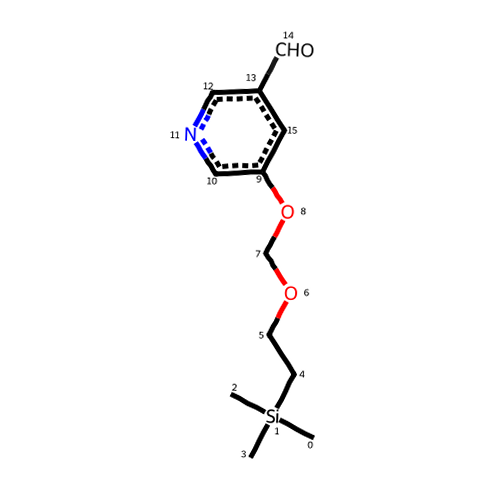 C[Si](C)(C)CCOCOc1cncc(C=O)c1